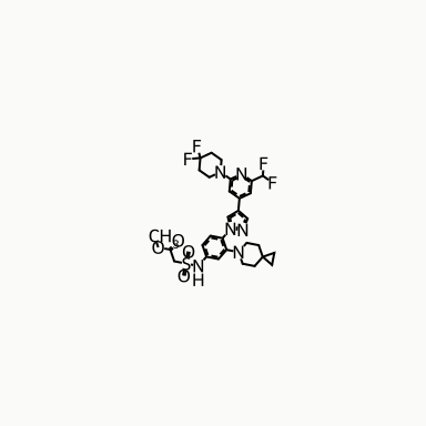 COC(=O)CS(=O)(=O)Nc1ccc(-n2cc(-c3cc(C(F)F)nc(N4CCC(F)(F)CC4)c3)cn2)c(N2CCC3(CC2)CC3)c1